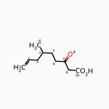 C=CCC(C)CCC(=O)CC(=O)O